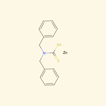 S=C(S)N(Cc1ccccc1)Cc1ccccc1.[Zn]